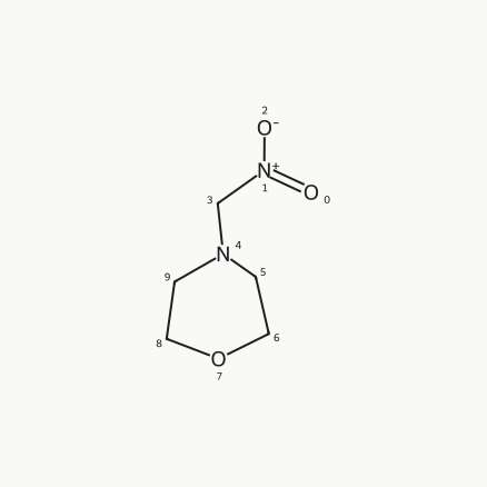 O=[N+]([O-])CN1CCOCC1